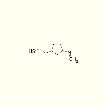 C=NC1CCC(CCS)C1